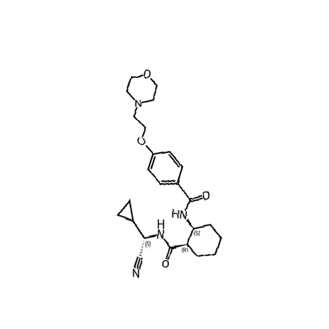 N#C[C@@H](NC(=O)[C@@H]1CCCC[C@@H]1NC(=O)c1ccc(OCCN2CCOCC2)cc1)C1CC1